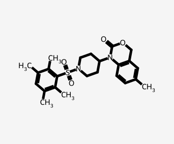 Cc1ccc2c(c1)COC(=O)N2C1CCN(S(=O)(=O)c2c(C)c(C)cc(C)c2C)CC1